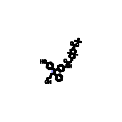 CC(C)(C)OC(=O)N1C[C@]2(C)CN(CC(=O)Nc3ccc(/C(=C(/CCCO)c4ccccc4)c4ccc(O)cc4)cc3)C[C@]2(C)C1